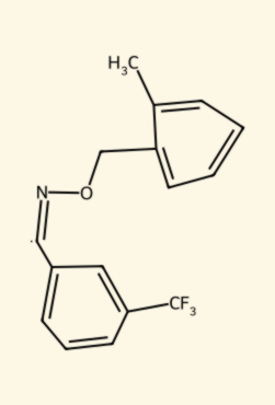 Cc1ccccc1CO/N=[C]\c1cccc(C(F)(F)F)c1